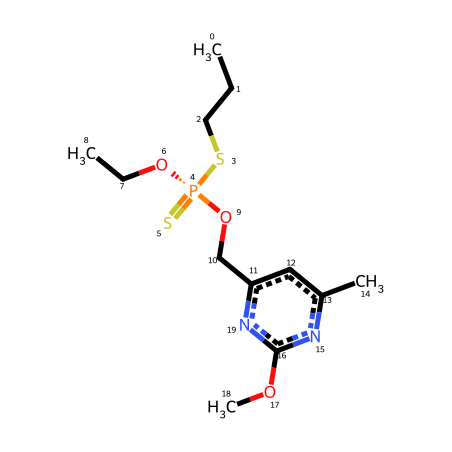 CCCS[P@@](=S)(OCC)OCc1cc(C)nc(OC)n1